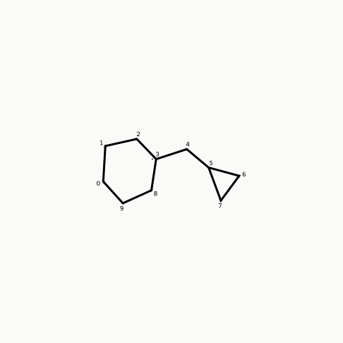 C1CC[C](CC2CC2)CC1